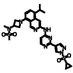 CC(C)c1ccc(N2CC(N(C)S(C)(=O)=O)C2)c2cnc(Nc3ccnc(-c4cnn(S(=O)(=O)C5CC5)c4)n3)cc12